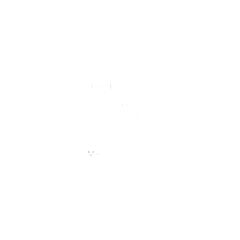 COc1ccc(C(=O)O)cc1OC1C(=O)C2C=CC1C2